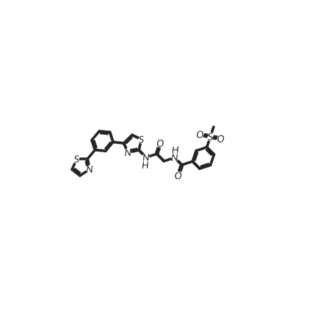 CS(=O)(=O)c1cccc(C(=O)NCC(=O)Nc2nc(-c3cccc(-c4nccs4)c3)cs2)c1